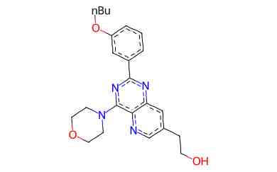 CCCCOc1cccc(-c2nc(N3CCOCC3)c3ncc(CCO)cc3n2)c1